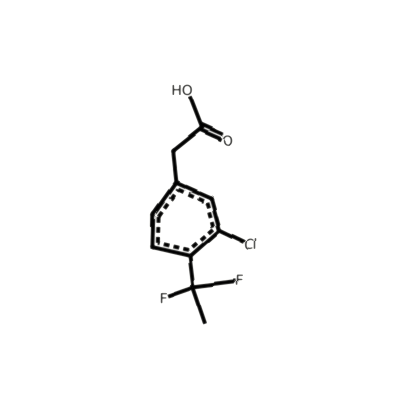 CC(F)(F)c1ccc(CC(=O)O)cc1Cl